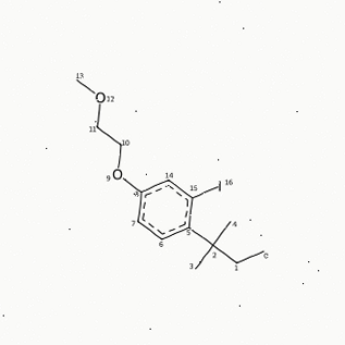 CCC(C)(C)c1ccc(OCCOC)cc1I